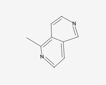 Cc1nccc2cnccc12